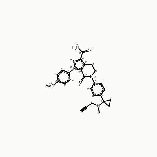 C#CCN(C)C1(c2ccc(N3CCc4c(C(N)=O)nn(-c5ccc(OC)cc5)c4C3=O)cc2)CC1